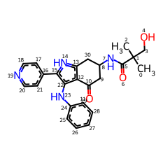 CC(C)(CO)C(=O)NC1CC(=O)c2c([nH]c(-c3ccncc3)c2Nc2ccccc2)C1